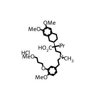 COCCCOc1cc(CCN(C)CCC(C(=O)O)(C(C)C)[C@@H]2CCc3cc(OC)c(OC)cc3C2)ccc1OC.Cl